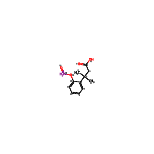 CC(C)(CC(=O)O)c1ccccc1O[PH2]=O